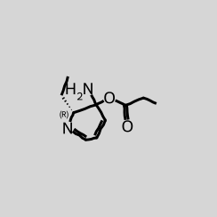 CCC(=O)OC1(N)C=CC=N[C@@H]1CC